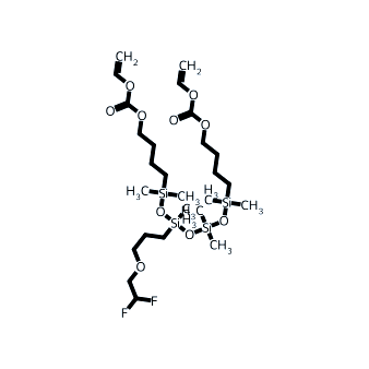 C=COC(=O)OCCCC[Si](C)(C)O[Si](C)(C)O[Si](C)(CCCOCC(F)F)O[Si](C)(C)CCCCOC(=O)OC=C